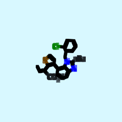 CC=C(C(=O)O)c1sccc1-c1cccc2nc(CCCC)n(Cc3ccccc3Cl)c12